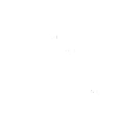 Cc1cc(CC(C)(O)C(=O)O)cc(C)c1N